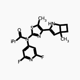 Cc1sc(N(C(=O)C(C)C)c2cc(F)nc(F)c2)nc1C1=CC2(C)CCC2N1